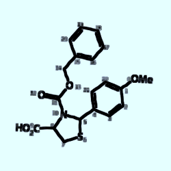 COc1ccc(C2SCC(C(=O)O)N2C(=O)OCc2ccccc2)cc1